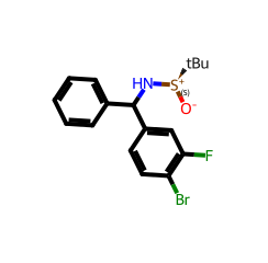 CC(C)(C)[S@@+]([O-])NC(c1ccccc1)c1ccc(Br)c(F)c1